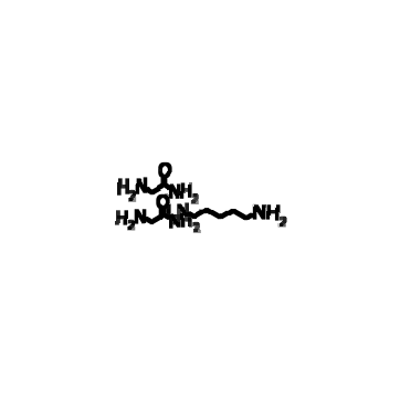 NCC(N)=O.NCC(N)=O.NCCCCCN